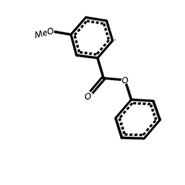 COc1cc[c]c(C(=O)Oc2ccccc2)c1